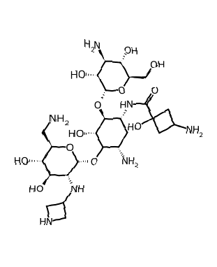 NC[C@H]1O[C@H](OC2[C@@H](N)C[C@@H](NC(=O)C3(O)CC(N)C3)[C@H](O[C@H]3O[C@H](CO)[C@@H](O)[C@H](N)[C@H]3O)[C@H]2O)[C@H](NC2CNC2)[C@@H](O)[C@@H]1O